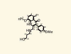 CCCOc1ccc(F)c2c(=O)c(-c3ccc(OC)cc3)c(CNCCCO)[nH]c12